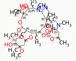 CC[C@H]1OC(=O)[C@H](C)[C@@H](O[C@H]2C[C@@](C)(OC)[C@@H](O)[C@H](C)O2)[C@H](C)[C@@H](O[C@@H]2O[C@H](C)C[C@H](N(C)C)[C@H]2OCCCN)[C@](C)(O)C[C@@H](C)CN(C)[C@H](C)[C@@H](O)[C@]1(C)O